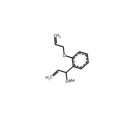 C=CCOc1ccccc1C(C=C)OC